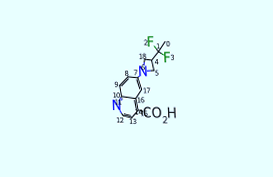 CC(F)(F)C1CN(c2ccc3nccc(C(=O)O)c3c2)C1